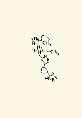 CCCc1cn(-c2nnnn2C(C)C)c(=O)n1Cc1cc(-c2cccc(-c3nnn[nH]3)c2)ccn1